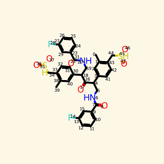 Cc1cc(C(CNC(=O)c2cccc(F)c2)C(=O)C(CNC(=O)c2cccc(F)c2)c2ccc(C[SH](=O)=O)c(C)c2)ccc1C[SH](=O)=O